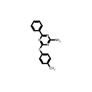 Cc1ccc(Sc2nc(N)nc(-c3ccccc3)n2)cc1